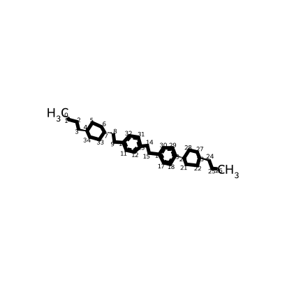 CCCC[C@H]1CC[C@H](CCc2ccc(CCc3ccc([C@H]4CC[C@H](CCC)CC4)cc3)cc2)CC1